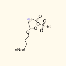 CCCCCCCCCCCCOC(=O)/C=C\C(=O)OS(=O)(=O)CC